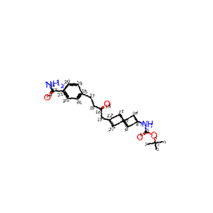 CC(C)(C)OC(=O)NC1CC2(CC(CC(=O)CCc3ccc(C(N)=O)cc3)C2)C1